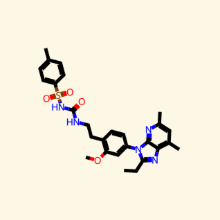 CCc1nc2c(C)cc(C)nc2n1-c1ccc(CCNC(=O)NS(=O)(=O)c2ccc(C)cc2)c(OC)c1